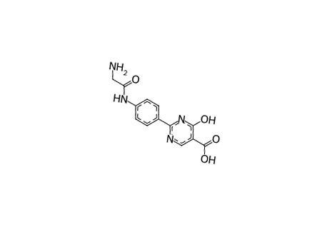 NCC(=O)Nc1ccc(-c2ncc(C(=O)O)c(O)n2)cc1